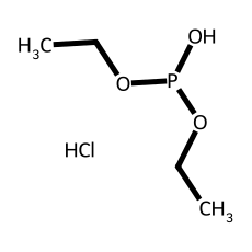 CCOP(O)OCC.Cl